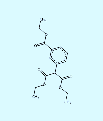 CCOC(=O)c1cccc(C(C(=O)OCC)C(=O)OCC)c1